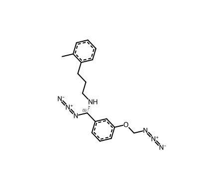 Cc1ccccc1CCCN[C@@H](N=[N+]=[N-])c1cccc(OCN=[N+]=[N-])c1